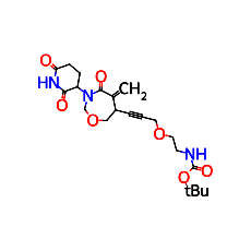 C=C1C(=O)N(C2CCC(=O)NC2=O)COCC1C#CCOCCNC(=O)OC(C)(C)C